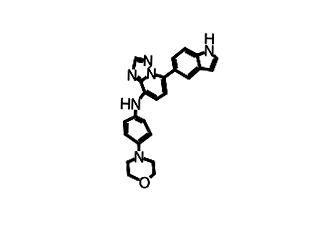 c1nc2c(Nc3ccc(N4CCOCC4)cc3)ccc(-c3ccc4[nH]ccc4c3)n2n1